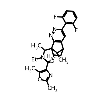 CCN(C(=O)c1nc(C)oc1C)C(C)C12CCC(c3cc(-c4c(F)cccc4F)nnc31)C2(C)C